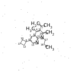 C=C(C)C1=C(C)c2cc(C3CCC3)cnc2N(CCC)C1=C